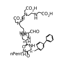 CCCCCNC(=O)[C@@H](Cc1ccc(-c2ccccc2)cc1)NC(=O)[C@@H](CN)NC(C=O)NCCN(CCN(CCNCC(=O)O)CC(=O)O)CC(=O)O